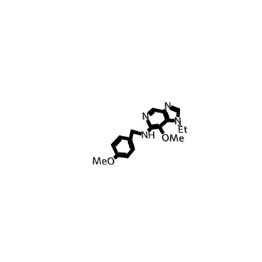 CCn1cnc2cnc(NCc3ccc(OC)cc3)c(OC)c21